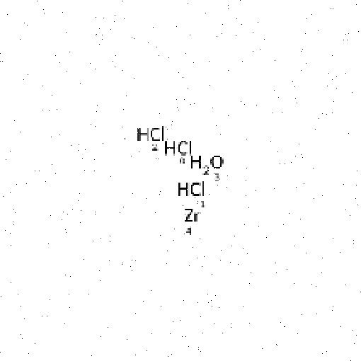 Cl.Cl.Cl.O.[Zr]